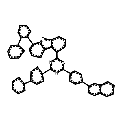 c1ccc(-c2ccc(-c3nc(-c4ccc(-c5ccc6ccccc6c5)cc4)nc(-c4cccc5oc6c(-c7ccccc7-c7ccccc7)cccc6c45)n3)cc2)cc1